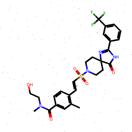 Cc1cc(C(=O)N(C)CCO)ccc1/C=C/S(=O)(=O)N1CCC2(CC1)N=C(c1cccc(C(F)(F)F)c1)NC2=O